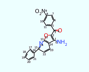 Nc1c(C(=O)c2ccc([N+](=O)[O-])cc2)oc2nc(-c3ccccc3)ccc12